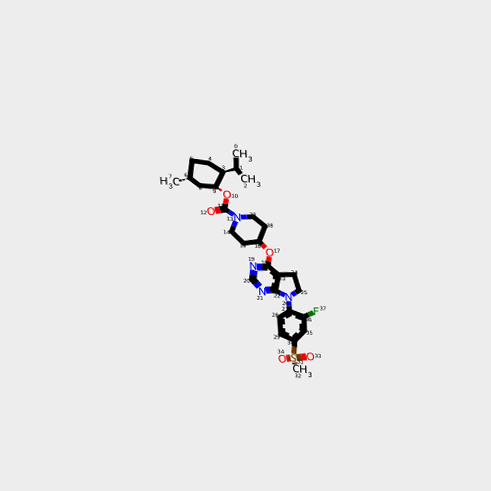 CC(C)[C@@H]1CC[C@@H](C)C[C@H]1OC(=O)N1CCC(Oc2ncnc3c2CCN3c2ccc(S(C)(=O)=O)cc2F)CC1